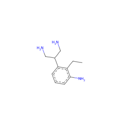 CCc1c(N)cccc1C(CN)CN